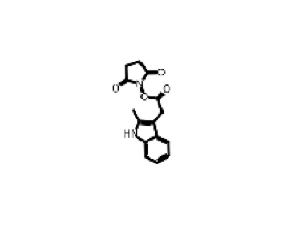 Cc1[nH]c2ccccc2c1CC(=O)ON1C(=O)CCC1=O